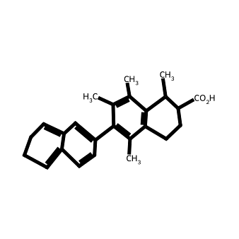 Cc1c(C)c2c(c(C)c1-c1ccc3c(c1)=CCCC=3)CCC(C(=O)O)C2C